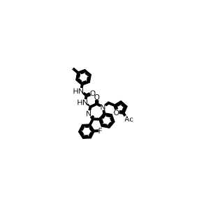 CC(=O)c1ccc(CN2C(=O)[C@H](NC(=O)Nc3cccc(C)c3)N=C(c3ccccc3F)c3ccccc32)o1